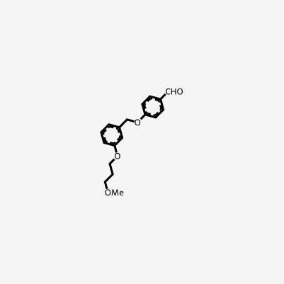 COCCCOc1cccc(COc2ccc(C=O)cc2)c1